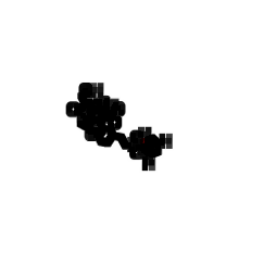 CC(C)(C)OC(=O)Oc1c(CCB2O[C@@H]3C[C@@H]4C[C@@H](C4(C)C)[C@]3(C)O2)ccc(OC2CN(C(=O)[C@H](N)CO)C2)c1C(=O)OC(C)(C)C